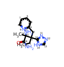 CCC(Cc1ccccn1)(c1nnc[nH]1)C(C)(N)C(N)=O